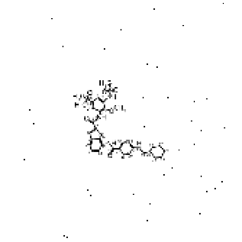 COc1c(NC(=O)c2cc3cccc(NC(=O)c4ccc(NCC5CCCCC5)nc4)c3s2)cc(C(C)(C)C)cc1NS(C)(=O)=O